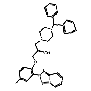 Cc1ccc(OCC(O)CN2CCN(C(c3ccccc3)c3ccccc3)CC2)c(-n2nc3ccccc3n2)c1